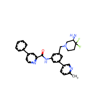 Cc1ccc(-c2cc(CN3CCC(F)(F)[C@H](N)C3)cc(NC(=O)c3cc(-c4ccccc4)ccn3)c2)cn1